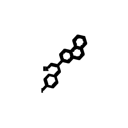 CC/C=C(\C=C1\C=CC(I)=CC1)c1ccc2c(ccc3ccccc32)c1